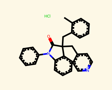 Cc1ccccc1CC1(Cc2ccncc2)C(=O)N(c2ccccc2)c2ccccc21.Cl